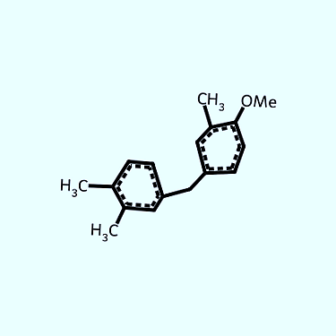 COc1ccc(Cc2ccc(C)c(C)c2)cc1C